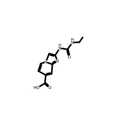 CCNC(=O)Nc1cn2ccc(C(=O)O)cc2n1